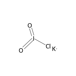 O=I(=O)Cl.[K]